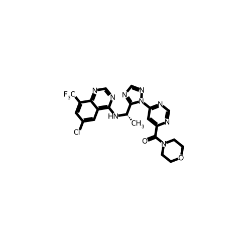 C[C@H](Nc1ncnc2c(C(F)(F)F)cc(Cl)cc12)c1ncnn1-c1cc(C(=O)N2CCOCC2)ncn1